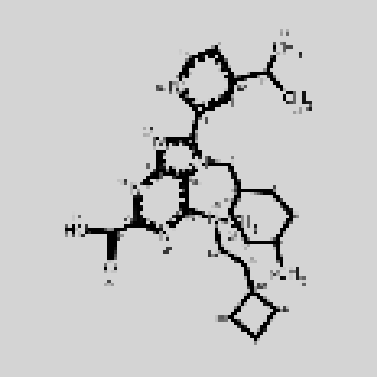 CC1CCC(Cn2c(-c3cc(C(C)C)ccn3)nc3nc(C(=O)O)nc(N(C)CCC4CCC4)c32)CC1